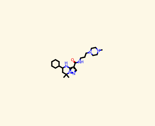 CN1CCN(CCCNC(=O)c2cnn3c2NC(C2CCCCC2)CC3(C)C)CC1